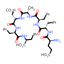 CC(C)C[C@H](NC(=O)[C@@H](CC(C)C)NC(=O)[C@H](CC(=O)O)NC(=O)[C@H](C)NC(=O)[C@@H](CC(C)C)NC(=O)[C@H](CC(C)C)NC(=O)[C@@H](N)CCC(=O)O)C(=O)O